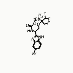 CC(C)(C)OC(=O)NC(COC(C)(CF)C(F)F)c1nc2cc(Br)ccc2[nH]1